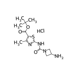 Cc1nc(NC(=O)N2CC(N)C2)sc1C(=O)OC(C)(C)C.Cl